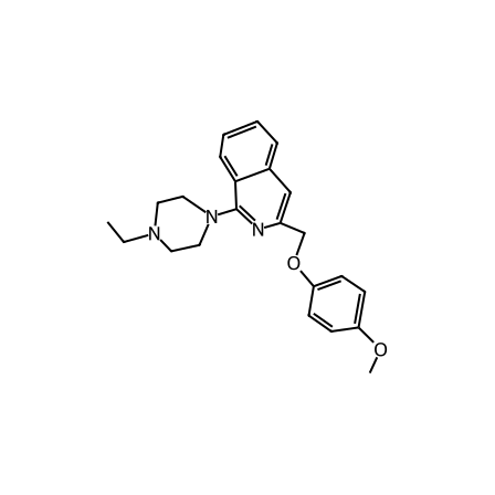 CCN1CCN(c2nc(COc3ccc(OC)cc3)cc3ccccc23)CC1